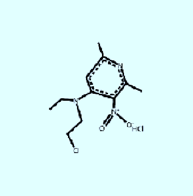 CCN(CCCl)c1cc(C)nc(C)c1[N+](=O)[O-].Cl